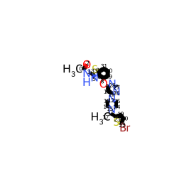 CC(=O)Nc1nc2c(Oc3cc(N4CCN([C@@H](C)c5ccc(Br)s5)CC4)ncn3)cccc2s1